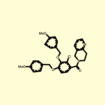 COc1ccc(COc2ccc(C(=O)N3CCc4ncccc4C3)c(Cl)c2OCc2ccc(OC)cc2)cc1